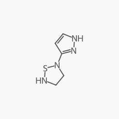 c1cc(N2CCNS2)n[nH]1